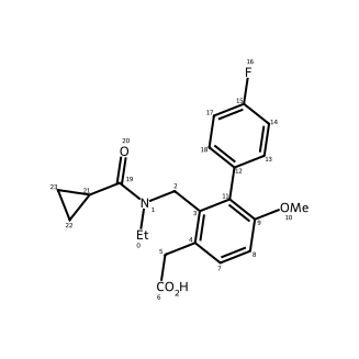 CCN(Cc1c(CC(=O)O)ccc(OC)c1-c1ccc(F)cc1)C(=O)C1CC1